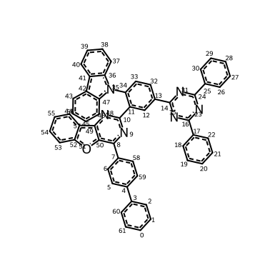 c1ccc(-c2ccc(-c3nc(-c4cc(-c5nc(-c6ccccc6)nc(-c6ccccc6)n5)ccc4-n4c5ccccc5c5ccccc54)nc4c3oc3ccccc34)cc2)cc1